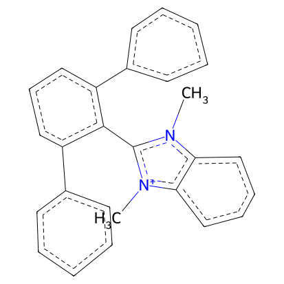 Cn1c(-c2c(-c3ccccc3)cccc2-c2ccccc2)[n+](C)c2ccccc21